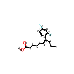 CCC/C(=C/CCCCC(=O)OC)c1ccc(F)cc1F